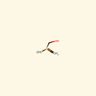 C=S(C=O)CO